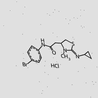 CN1C(=NC2CC2)SCC1CC(=O)Nc1ccc(Br)cc1.Cl